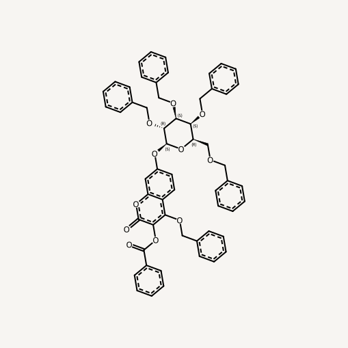 O=C(Oc1c(OCc2ccccc2)c2ccc(O[C@@H]3O[C@H](COCc4ccccc4)[C@H](OCc4ccccc4)[C@H](OCc4ccccc4)[C@H]3OCc3ccccc3)cc2oc1=O)c1ccccc1